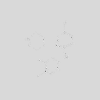 N#Cc1cnc(Nc2cc(N[C@H]3CCCNC3)c(N)cn2)cn1